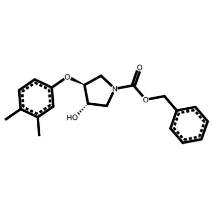 Cc1ccc(O[C@H]2CN(C(=O)OCc3ccccc3)C[C@@H]2O)cc1C